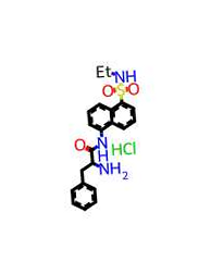 CCNS(=O)(=O)c1cccc2c(NC(=O)C(N)Cc3ccccc3)cccc12.Cl